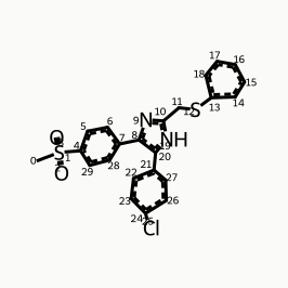 CS(=O)(=O)c1ccc(-c2nc(CSc3ccccc3)[nH]c2-c2ccc(Cl)cc2)cc1